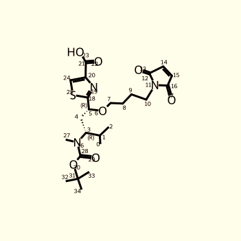 CC(C)[C@@H](C[C@@H](OCCCCN1C(=O)C=CC1=O)c1nc(C(=O)O)cs1)N(C)C(=O)OC(C)(C)C